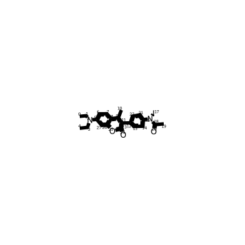 CCN(CC)c1ccc2c(C)c(-c3ccc(N(I)C(C)=O)cc3)c(=O)oc2c1